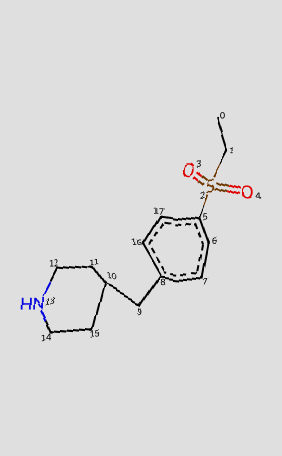 CCS(=O)(=O)c1ccc(CC2CCNCC2)cc1